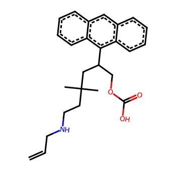 C=CCNCCC(C)(C)CC(COC(=O)O)c1c2ccccc2cc2ccccc12